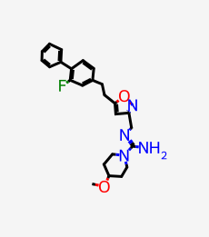 COC1CCN(C(N)=NCc2cc(CCc3ccc(-c4ccccc4)c(F)c3)on2)CC1